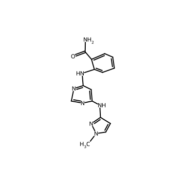 Cn1ccc(Nc2cc(Nc3ccccc3C(N)=O)ncn2)n1